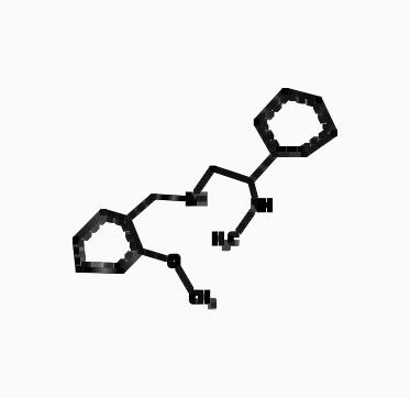 CNC(CNCc1ccccc1OC)c1ccccc1